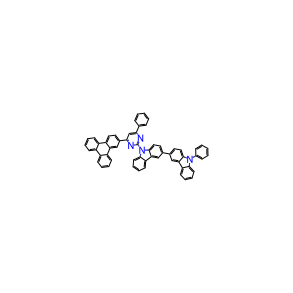 c1ccc(-c2cc(-c3ccc4c5ccccc5c5ccccc5c4c3)nc(-n3c4ccccc4c4cc(-c5ccc6c(c5)c5ccccc5n6-c5ccccc5)ccc43)n2)cc1